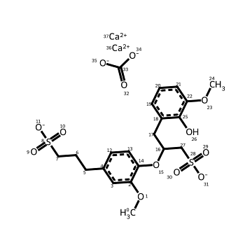 COc1cc(CCCS(=O)(=O)[O-])ccc1OC(Cc1cccc(OC)c1O)CS(=O)(=O)[O-].O=C([O-])[O-].[Ca+2].[Ca+2]